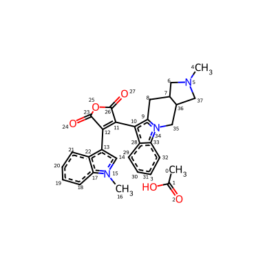 CC(=O)O.CN1CC2Cc3c(C4=C(c5cn(C)c6ccccc56)C(=O)OC4=O)c4ccccc4n3CC2C1